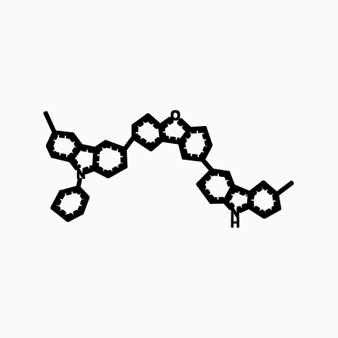 Cc1ccc2[nH]c3ccc(-c4ccc5oc6ccc(-c7ccc8c(c7)c7cc(C)ccc7n8-c7ccccc7)cc6c5c4)cc3c2c1